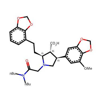 CCCCN(CCCC)C(=O)CN1C[C@H](c2cc(OC)c3c(c2)OCO3)[C@@H](C(=O)O)[C@@H]1CCc1cccc2c1OCO2